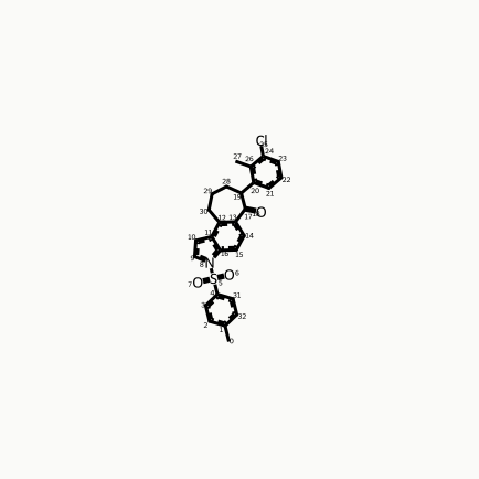 Cc1ccc(S(=O)(=O)n2ccc3c4c(ccc32)C(=O)C(c2cccc(Cl)c2C)CCC4)cc1